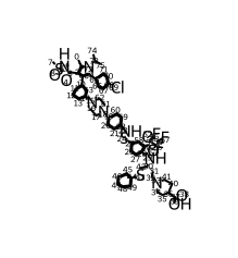 Cc1c(C(=O)N[S+](C)[O-])c(-c2cccc(N3CCN(c4ccc(NSc5ccc(N[C@H](CCN6CCC(C(=O)O)CC6)CSc6ccccc6)c(S(=O)(=O)C(F)(F)F)c5)cc4)CC3)c2)c(-c2ccc(Cl)cc2)n1C(C)C